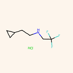 Cl.FC(F)(F)CNCCC1CC1